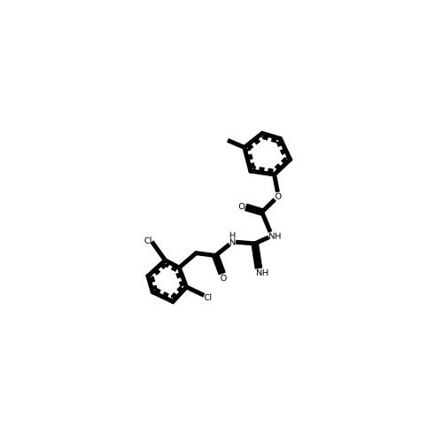 Cc1cccc(OC(=O)NC(=N)NC(=O)Cc2c(Cl)cccc2Cl)c1